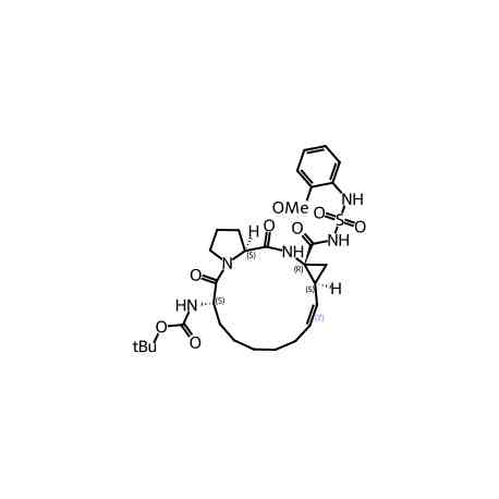 COc1ccccc1NS(=O)(=O)NC(=O)[C@@]12C[C@H]1/C=C\CCCCC[C@H](NC(=O)OC(C)(C)C)C(=O)N1CCC[C@H]1C(=O)N2